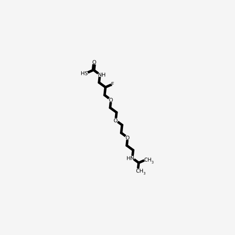 CC(C)NCCOCCOCCOCC(F)CNC(=O)S